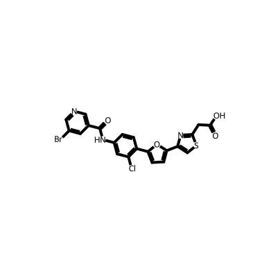 O=C(O)Cc1nc(-c2ccc(-c3ccc(NC(=O)c4cncc(Br)c4)cc3Cl)o2)cs1